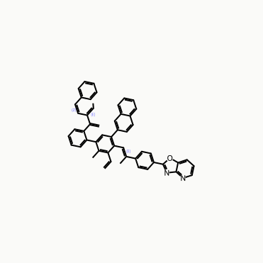 C=Cc1c(C)c(-c2ccccc2C(=C)C(/C=C\c2ccccc2)=C/C)cc(-c2ccc3ccccc3c2)c1/C=C(\C)c1ccc(-c2nc3ncccc3o2)cc1